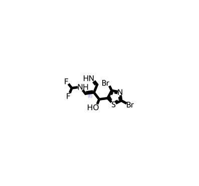 N=C/C(=C\NC(F)F)C(O)c1sc(Br)nc1Br